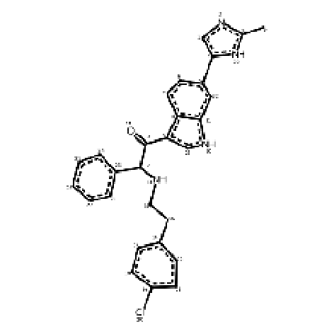 Cc1ncc(-c2ccc3c(C(=O)C(NCCc4ccc(Cl)cc4)c4ccccc4)c[nH]c3c2)[nH]1